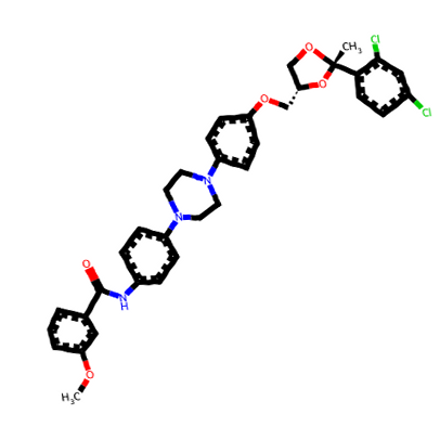 COc1cccc(C(=O)Nc2ccc(N3CCN(c4ccc(OC[C@@H]5CO[C@](C)(c6ccc(Cl)cc6Cl)O5)cc4)CC3)cc2)c1